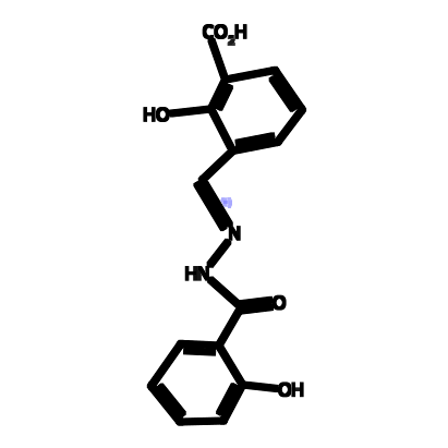 O=C(N/N=C/c1cccc(C(=O)O)c1O)c1ccccc1O